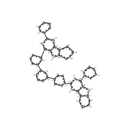 c1ccc(-c2nc(-c3cccc(-c4cccc(-c5ccc(-c6nc(-c7ccccc7)c7oc8ccccc8c7n6)cc5)c4)c3)c3oc4ccccc4c3n2)cc1